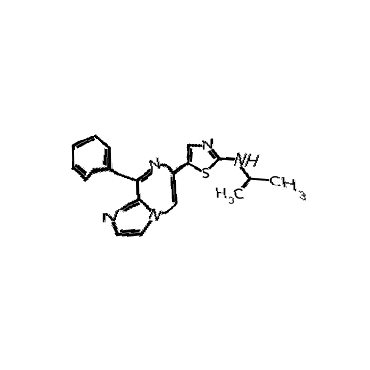 CC(C)Nc1ncc(-c2cn3ccnc3c(-c3ccccc3)n2)s1